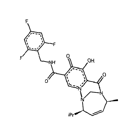 CC(C)[C@@H]1C=C[C@H](C)N2CN1n1cc(C(=O)NCc3c(F)cc(F)cc3F)c(=O)c(O)c1C2=O